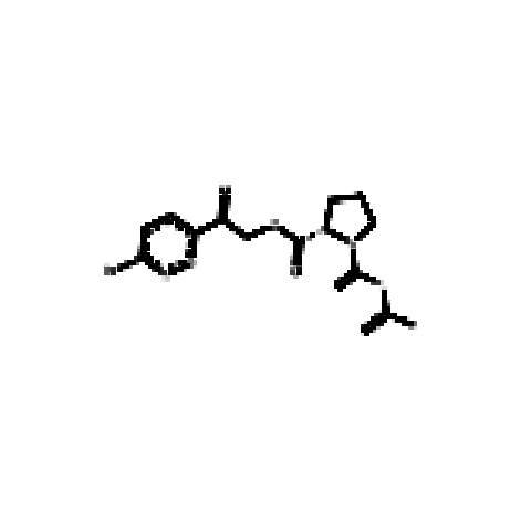 C=C(C)OC(=O)N1CCC[C@H]1C(=O)OCC(=O)c1ccc(Br)nn1